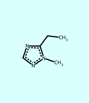 CCc1n[c]nn1C